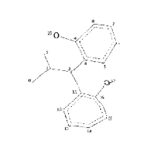 CC(C)C(c1ccccc1[O])c1ccccc1[O]